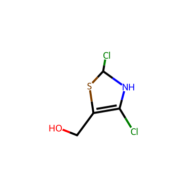 OCC1=C(Cl)NC(Cl)S1